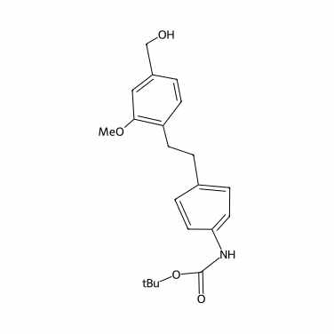 COc1cc(CO)ccc1CCc1ccc(NC(=O)OC(C)(C)C)cc1